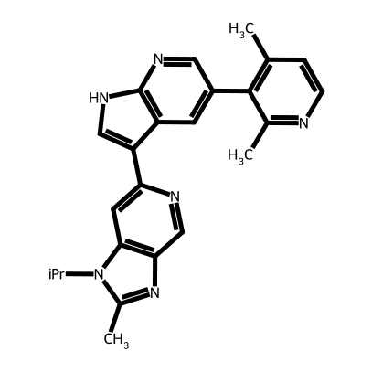 Cc1ccnc(C)c1-c1cnc2[nH]cc(-c3cc4c(cn3)nc(C)n4C(C)C)c2c1